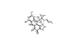 C=CCC1(S(=O)(=O)Nc2c(Nc3ccc(I)cc3F)c(F)c(=O)n3c2CCC3)CC1